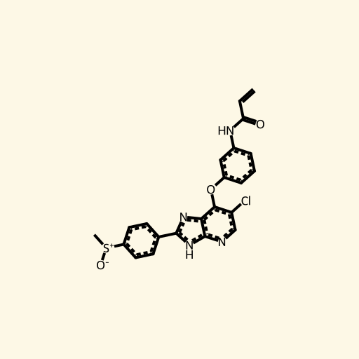 C=CC(=O)Nc1cccc(Oc2c(Cl)cnc3[nH]c(-c4ccc([S+](C)[O-])cc4)nc23)c1